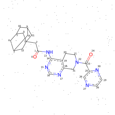 O=C(CC12CC3CC(CC(C3)C1)C2)Nc1ncnc2c1CCN(C(=O)c1cnccn1)C2